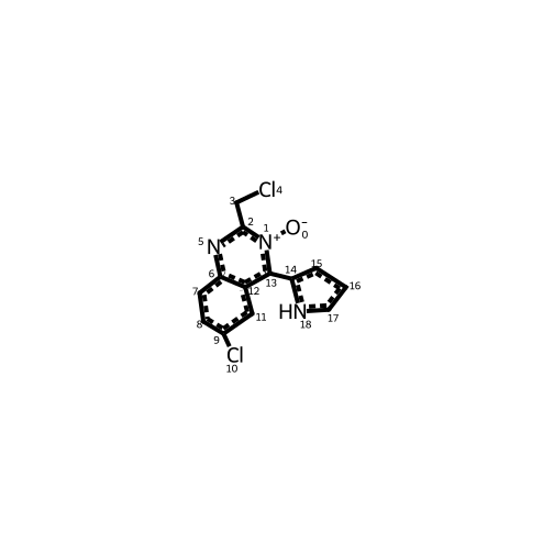 [O-][n+]1c(CCl)nc2ccc(Cl)cc2c1-c1ccc[nH]1